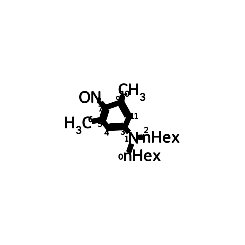 CCCCCCN(CCCCCC)c1cc(C)c(N=O)c(C)c1